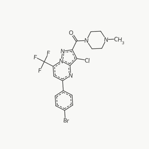 CN1CCN(C(=O)c2nn3c(C(F)(F)F)cc(-c4ccc(Br)cc4)nc3c2Cl)CC1